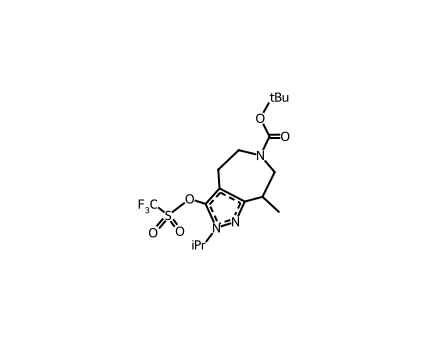 CC1CN(C(=O)OC(C)(C)C)CCc2c1nn(C(C)C)c2OS(=O)(=O)C(F)(F)F